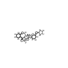 CN1C(=O)[C@@H](NC(=O)c2cccc(OC3CCCC3)c2)COc2ccccc21